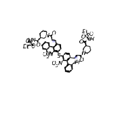 CCS(=O)(=O)NC(=O)C1CCCN(C(=O)/C=C/c2ccc(Sc3ccc(/C=C/C(=O)N4CCCC(C(=O)NS(=O)(=O)CC)C4)c(-c4ccccc4C(C)C)c3[N+](=O)[O-])c([N+](=O)[O-])c2-c2ccccc2C(C)C)C1